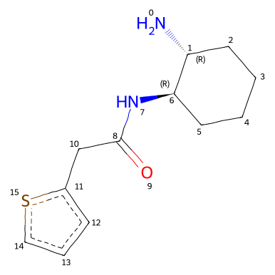 N[C@@H]1CCCC[C@H]1NC(=O)Cc1cccs1